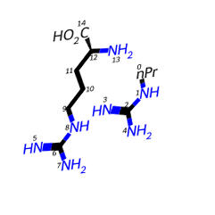 CCCNC(=N)N.N=C(N)NCCC[C@H](N)C(=O)O